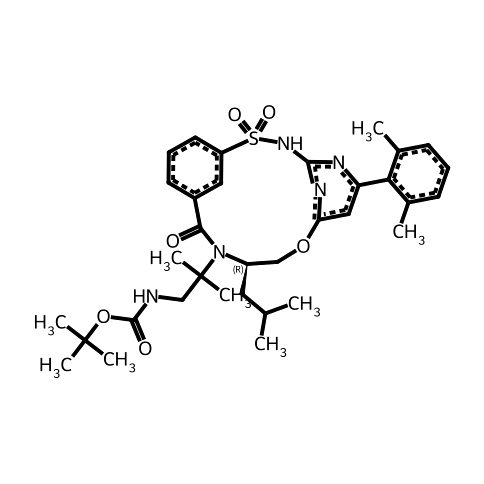 Cc1cccc(C)c1-c1cc2nc(n1)NS(=O)(=O)c1cccc(c1)C(=O)N(C(C)(C)CNC(=O)OC(C)(C)C)[C@H](CC(C)C)CO2